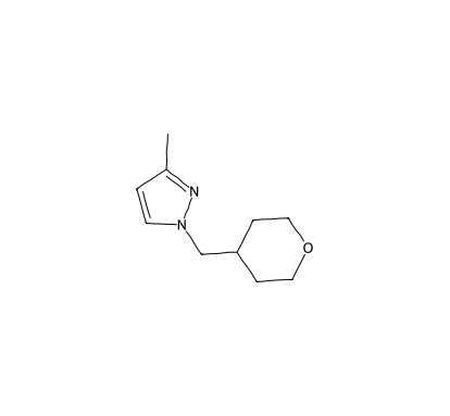 Cc1ccn(CC2CCOCC2)n1